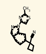 Cc1nc(-n2ncc3ccc(C4(C#N)CCC4)cc32)cs1